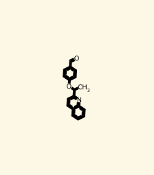 CC(Oc1ccc(C=O)cc1)c1ccc2ccccc2n1